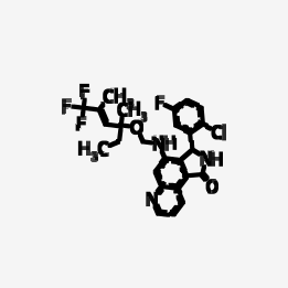 CCC(C)(/C=C(\C)C(F)(F)F)OCNc1cc2ncccc2c2c1C(c1cc(F)ccc1Cl)NC2=O